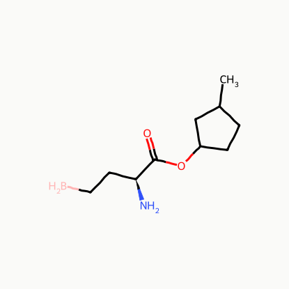 BCC[C@H](N)C(=O)OC1CCC(C)C1